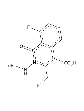 CCCNn1c(CF)c(C(=O)O)c2cccc(F)c2c1=O